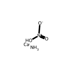 N.O=[N+]([O-])O.[Ca]